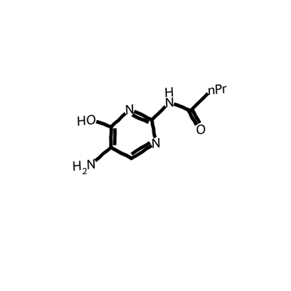 CCCC(=O)Nc1ncc(N)c(O)n1